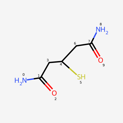 NC(=O)CC(S)CC(N)=O